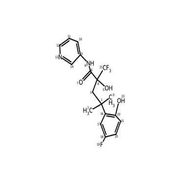 CC(C)(CC(O)(C(=O)Nc1cccnc1)C(F)(F)F)c1cc(F)ccc1O